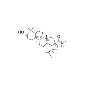 C=C(C)[C@@H]1CC[C@]2(C(=O)NC)CC[C@]3(C)C(CCC4[C@@]5(C)CC[C@H](O)C(C)(C)C5CC[C@]43C)C12